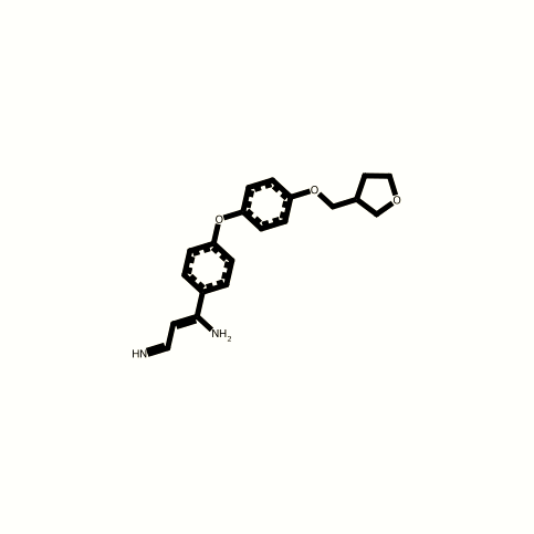 N=C/C=C(\N)c1ccc(Oc2ccc(OCC3CCOC3)cc2)cc1